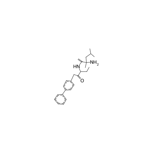 C=C(NC(CC)C(=O)Cc1ccc(-c2ccccc2)cc1)C(C)(N)CC(C)C